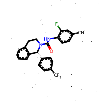 N#Cc1ccc(NC(=O)N2CCc3ccccc3[C@H]2c2ccc(C(F)(F)F)cc2)c(F)c1